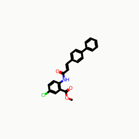 COC(=O)c1cc(Cl)ccc1NC(=O)C=Cc1ccc(-c2ccccc2)cc1